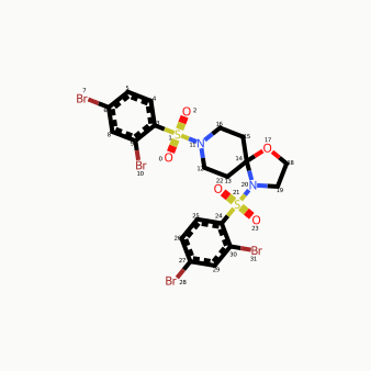 O=S(=O)(c1ccc(Br)cc1Br)N1CCC2(CC1)OCCN2S(=O)(=O)c1ccc(Br)cc1Br